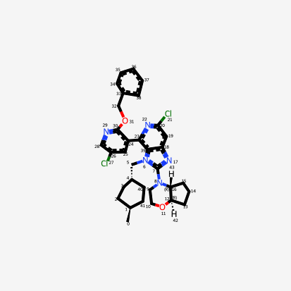 C[C@H]1CC[C@H](Cn2c(N3CCO[C@@H]4CCC[C@H]43)nc3cc(Cl)nc(-c4cc(Cl)cnc4OCc4ccccc4)c32)CC1